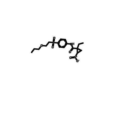 CCCOCCS(=O)(=O)c1ccc(NC(=O)C2(CC)CC2[N+](=O)[O-])cc1